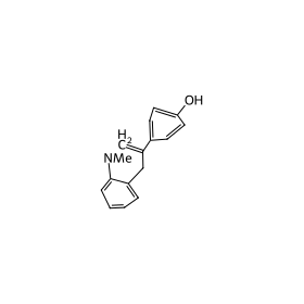 C=C(Cc1ccccc1NC)c1ccc(O)cc1